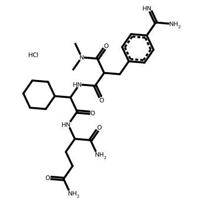 CN(C)C(=O)C(Cc1ccc(C(=N)N)cc1)C(=O)NC(C(=O)NC(CCC(N)=O)C(N)=O)C1CCCCC1.Cl